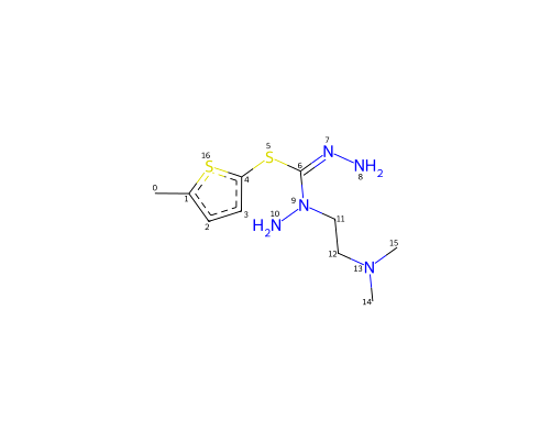 Cc1ccc(S/C(=N/N)N(N)CCN(C)C)s1